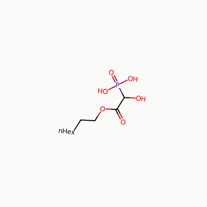 CCCCCCCCOC(=O)C(O)P(=O)(O)O